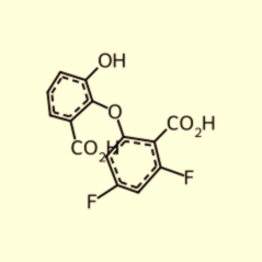 O=C(O)c1cccc(O)c1Oc1cc(F)cc(F)c1C(=O)O